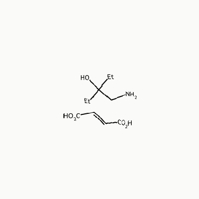 CCC(O)(CC)CN.O=C(O)C=CC(=O)O